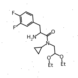 CCOC(CN(C(=O)C(N)Cc1ccc(F)c(F)c1)C1CC1)OCC